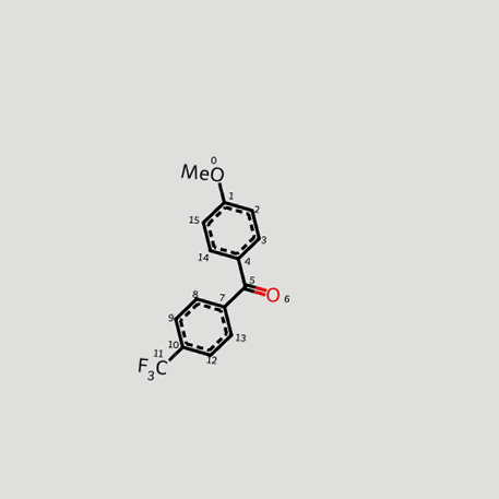 COc1ccc(C(=O)c2ccc(C(F)(F)F)cc2)cc1